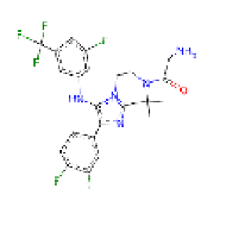 CC1(C)c2nc(-c3ccc(F)c(F)c3)c(Nc3cc(F)cc(C(F)(F)F)c3)n2CCN1C(=O)CN